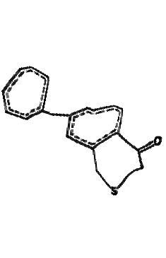 O=C1CSCc2cc(-c3ccccc3)ccc21